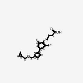 O=C(O)CCCOc1c(F)cc(-c2ccc(COCC3CC3)s2)cc1F